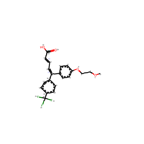 COCCOc1ccc(/C(=C\C=C\C(=O)O)c2ccc(C(F)(F)F)cc2)cc1